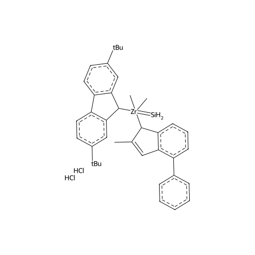 CC1=Cc2c(-c3ccccc3)cccc2[CH]1[Zr]([CH3])([CH3])(=[SiH2])[CH]1c2cc(C(C)(C)C)ccc2-c2ccc(C(C)(C)C)cc21.Cl.Cl